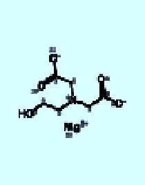 O=C([O-])CN(CCO)CC(=O)[O-].[Mg+2]